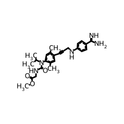 COC(=O)CNC(=O)N(c1cc(C)c(C#CCNc2ccc(C(=N)N)cc2)cc1C)C(C)C